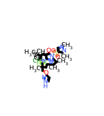 Cc1nn(C)cc1S(=O)(=O)NC(=O)c1cc([Si](C)(C)C)c(Cl)nc1N1C[C@@H](C)CC1(C)CCC(C)(COc1cc[nH]n1)C(F)(F)F